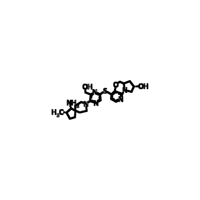 C[C@@H]1CCC2(CCN(c3ncc(Sc4ccnc5c4OCC4C[C@@H](O)CN54)nc3CO)CC2)[C@@H]1N